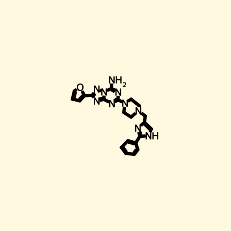 Nc1nc(N2CCN(Cc3c[nH]c(-c4ccccc4)n3)CC2)nc2nc(-c3ccco3)nn12